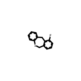 Fc1cccc2c1Cc1ccccc1SC2